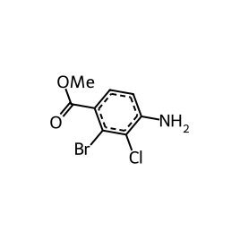 COC(=O)c1ccc(N)c(Cl)c1Br